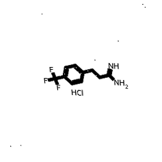 Cl.N=C(N)CCc1ccc(C(F)(F)F)cc1